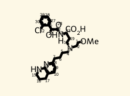 COCCN(CCCCc1ccc2c(n1)NCCC2)CCC(NC(=O)C(O)c1ccccc1Cl)C(=O)O